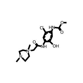 COC(=O)Nc1cc(O)c(NC(=O)C[N+]2(C)CCN(C)CC2)cc1Cl